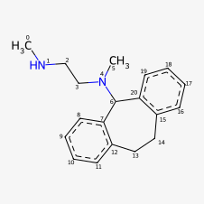 CNCCN(C)C1c2ccccc2CCc2ccccc21